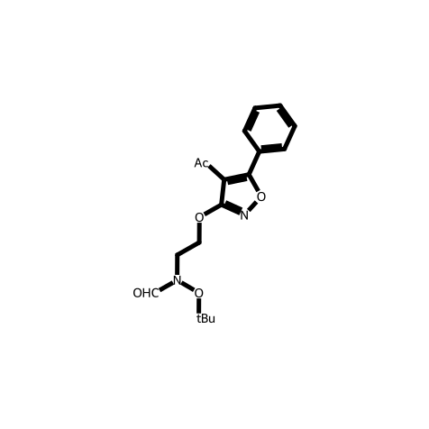 CC(=O)c1c(OCCN(C=O)OC(C)(C)C)noc1-c1ccccc1